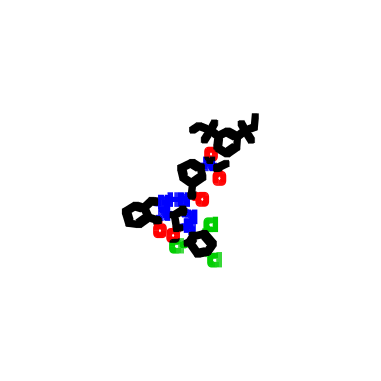 CCC(C)(C)c1ccc(ON(C(C)=O)c2cccc(C(=O)NC3=NN(c4c(Cl)cc(Cl)cc4Cl)C(=O)C3n3ncc4ccccc4c3=O)c2)c(C(C)(C)CC)c1